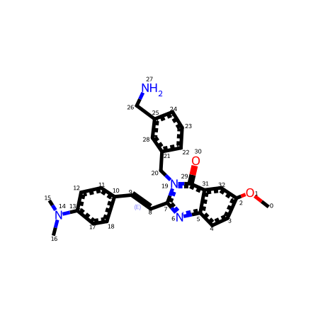 COc1ccc2nc(/C=C/c3ccc(N(C)C)cc3)n(Cc3cccc(CN)c3)c(=O)c2c1